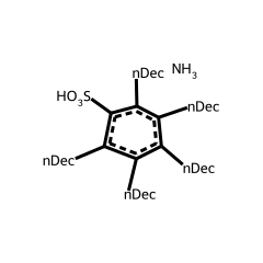 CCCCCCCCCCc1c(CCCCCCCCCC)c(CCCCCCCCCC)c(S(=O)(=O)O)c(CCCCCCCCCC)c1CCCCCCCCCC.N